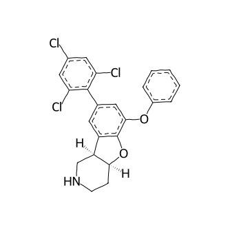 Clc1cc(Cl)c(-c2cc(Oc3ccccc3)c3c(c2)[C@@H]2CNCC[C@@H]2O3)c(Cl)c1